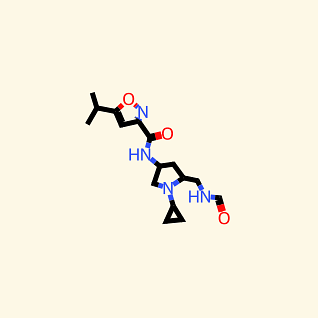 CC(C)c1cc(C(=O)NC2CC(CNC=O)N(C3CC3)C2)no1